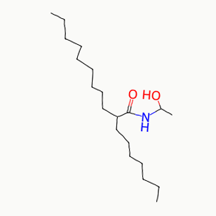 CCCCCCCCCC(CCCCCCC)C(=O)NC(C)O